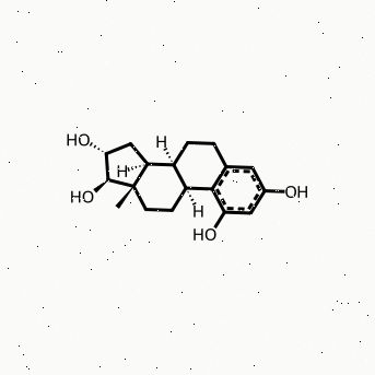 C[C@]12CC[C@@H]3c4c(O)cc(O)cc4CC[C@@H]3[C@@H]1C[C@@H](O)[C@@H]2O